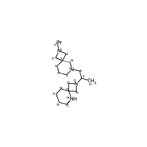 CC(C)N1CC2(CCCN(CC(C)N3CC4(CCCCN4)C3)C2)C1